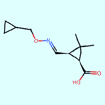 CC1(C)[C@H](C=NOCC2CC2)[C@@H]1C(=O)O